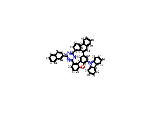 c1ccc(-c2nc(-c3ccc4ccccc4c3)nc(-c3cccc4oc5c(-n6c7ccccc7c7ccccc76)cc(-c6ccc7ccccc7c6)cc5c34)n2)cc1